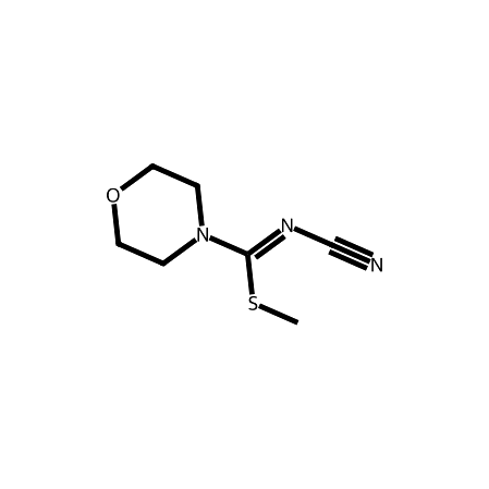 CS/C(=N\C#N)N1CCOCC1